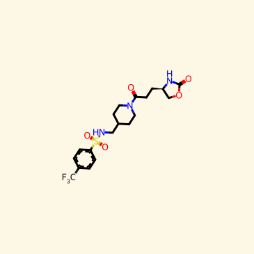 O=C1N[C@H](CCC(=O)N2CCC(CNS(=O)(=O)c3ccc(C(F)(F)F)cc3)CC2)CO1